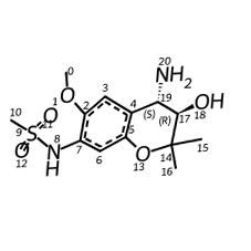 COc1cc2c(cc1NS(C)(=O)=O)OC(C)(C)[C@H](O)[C@H]2N